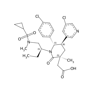 CC[C@@H](CN(C)S(=O)(=O)C1CC1)N1C(=O)[C@](C)(CC(=O)O)C[C@H](c2cncc(Cl)c2)[C@H]1c1ccc(Cl)cc1